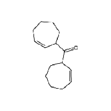 O=C(C1C=CCCCC1)C1C=CCCCC1